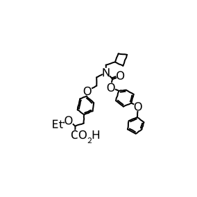 CCOC(Cc1ccc(OCCN(CC2CCC2)C(=O)Oc2ccc(Oc3ccccc3)cc2)cc1)C(=O)O